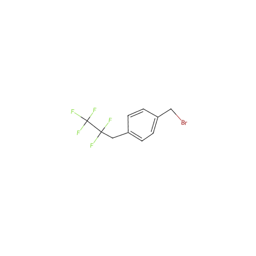 FC(F)(F)C(F)(F)Cc1ccc(CBr)cc1